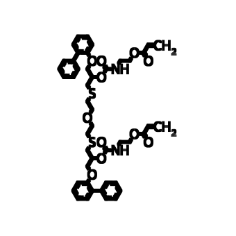 C=CC(=O)OCCNC(=O)OC(COc1ccccc1-c1ccccc1)CSCCOCCSCC(COc1ccccc1-c1ccccc1)OC(=O)NCCOC(=O)C=C